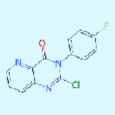 O=c1c2ncccc2nc(Cl)n1-c1ccc(F)cc1